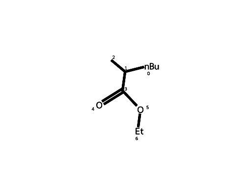 CCCCC(C)C(=O)OCC